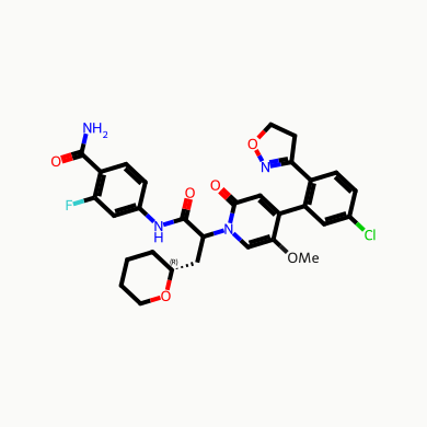 COc1cn(C(C[C@H]2CCCCO2)C(=O)Nc2ccc(C(N)=O)c(F)c2)c(=O)cc1-c1cc(Cl)ccc1C1=NOCC1